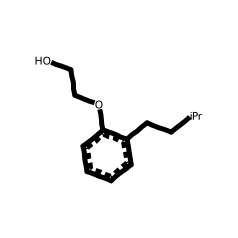 CC(C)CCc1ccccc1OCCO